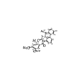 COc1ccc(C(=O)N2c3ccccc3C(N(C(C)=O)c3ccccc3)CC2C)cc1OC